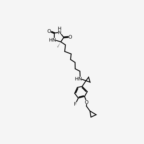 C[C@]1(CCCCCCCNC2(c3ccc(F)c(OCC4CC4)c3)CC2)NC(=O)NC1=O